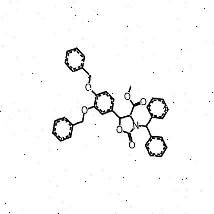 COC(=O)C1C(c2ccc(OCc3ccccc3)c(OCc3ccccc3)c2)OC(=O)N1C(c1ccccc1)c1ccccc1